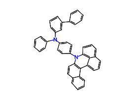 c1ccc(-c2cccc(N(c3ccccc3)c3ccc(N4c5ccc6ccccc6c5-c5cccc6cccc4c56)cc3)c2)cc1